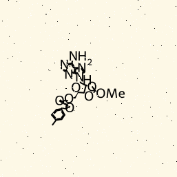 COC1OC2[C@@H](COS(=O)(=O)c3ccc(C)cc3)O[C@@H](n3cnc4c(N)ncnc43)[C@H]2O1